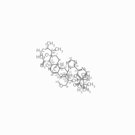 CC(C)[C@@H](C)[C@@]1(C)CC[C@]2(C)[C@H]3CC[C@@H]4[C@@]5(COC[C@@]4(C)[C@@H](OC[C@](C)(N)C(C)(C)C)[C@H](n4ncnc4-c4cc(C(N)=O)ccn4)C5)C3=CC[C@@]2(C)[C@@H]1C(=O)O